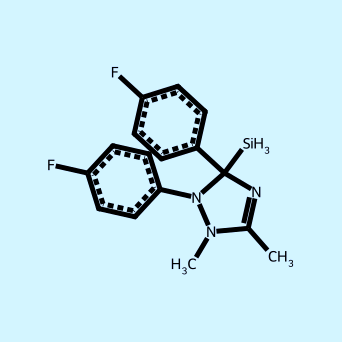 CC1=NC([SiH3])(c2ccc(F)cc2)N(c2ccc(F)cc2)N1C